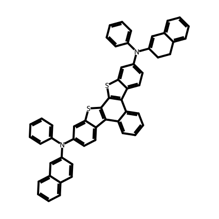 C1=C(N(c2ccccc2)c2ccc3c(c2)sc2c4sc5cc(N(c6ccccc6)c6ccc7ccccc7c6)ccc5c4c4ccccc4c32)CCc2ccccc21